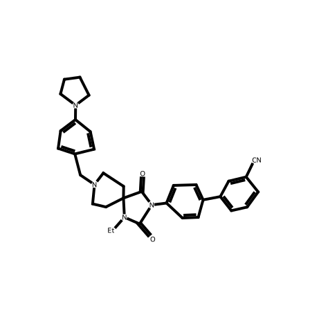 CCN1C(=O)N(c2ccc(-c3cccc(C#N)c3)cc2)C(=O)C12CCN(Cc1ccc(N3CCCC3)cc1)CC2